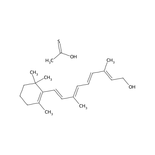 CC(C=CC1=C(C)CCCC1(C)C)=CC=CC(C)=CCO.CC(O)=S